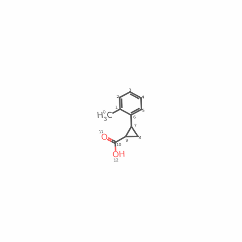 Cc1ccccc1C1CC1C(=O)O